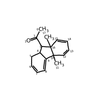 CC(=O)C1C2CC=CC=C2C2(C)C=CC=CC12C